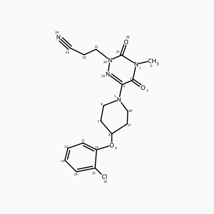 Cn1c(=O)c(N2CCC(Oc3ccccc3Cl)CC2)nn(CCC#N)c1=O